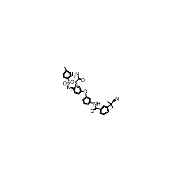 Cc1ccc(S(=O)(=O)/N=c2/ccc(Oc3cccc(NC(=O)c4cccc(C(C)(C)C#N)c4)c3)cn2CC(N)=O)cc1